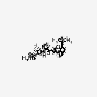 Cc1sc(C(=O)c2cncnc2N[C@@H]2C[C@H](COS(N)(=O)=O)[C@@H](C)C2)cc1C1OCCc2ccc(C#C[Si](C)(C)C)cc21